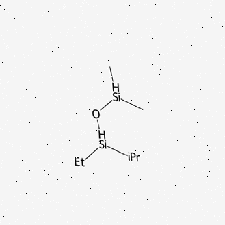 CC[SiH](O[SiH](C)C)C(C)C